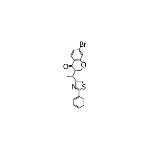 CC(c1csc(-c2ccccc2)n1)C1COc2cc(Br)ccc2C1=O